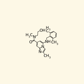 Cc1cn2c(NCc3c(C)cccc3C)cc(C(=O)N(C)CCO)cc2n1